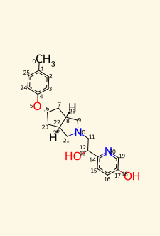 Cc1ccc(O[C@@H]2C[C@@H]3CN(CC(O)c4ccc(O)cn4)C[C@@H]3C2)cc1